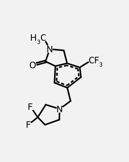 CN1Cc2c(cc(CN3CCC(F)(F)C3)cc2C(F)(F)F)C1=O